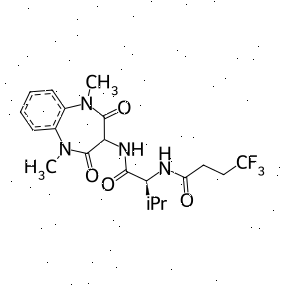 CC(C)[C@H](NC(=O)CCC(F)(F)F)C(=O)NC1C(=O)N(C)c2ccccc2N(C)C1=O